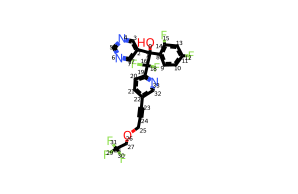 OC(c1cncnc1)(c1ccc(F)cc1F)C(F)(F)c1ccc(C#CCOCC(F)(F)F)cn1